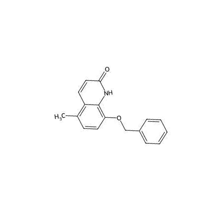 Cc1ccc(OCc2ccccc2)c2[nH]c(=O)ccc12